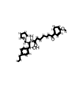 CCCc1ccc([C@@H](O)[C@@H](CN2CCCC2)NC(=O)CCCCCC(=O)C2=CCC=C(OC)C=C2)cc1